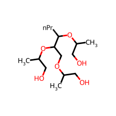 CCCC(OC(C)CO)C(COC(C)CO)OC(C)CO